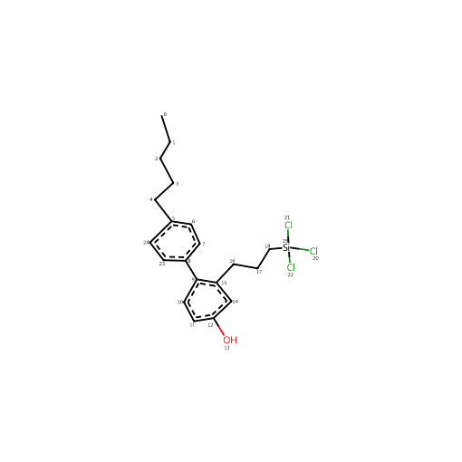 CCCCCc1ccc(-c2ccc(O)cc2CCC[Si](Cl)(Cl)Cl)cc1